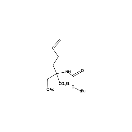 C=CCCC(COC(C)=O)(NC(=O)OC(C)(C)C)C(=O)OCC